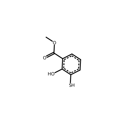 COC(=O)c1cccc(S)c1O